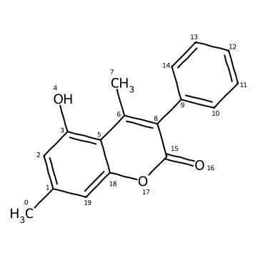 Cc1cc(O)c2c(C)c(-c3ccccc3)c(=O)oc2c1